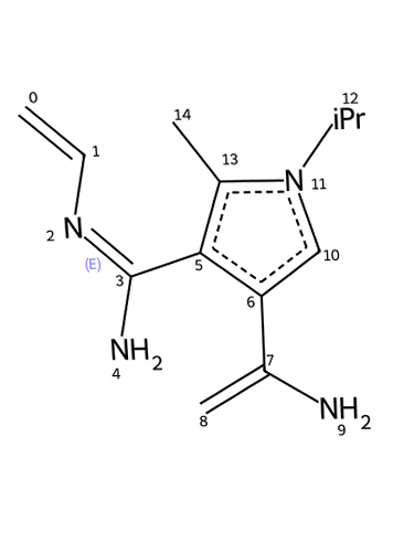 C=C/N=C(/N)c1c(C(=C)N)cn(C(C)C)c1C